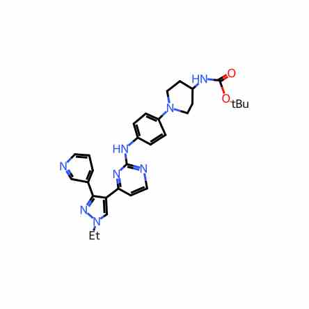 CCn1cc(-c2ccnc(Nc3ccc(N4CCC(NC(=O)OC(C)(C)C)CC4)cc3)n2)c(-c2cccnc2)n1